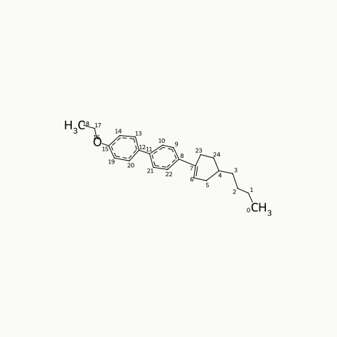 CCCCC1CC=C(c2ccc(-c3ccc(OCC)cc3)cc2)CC1